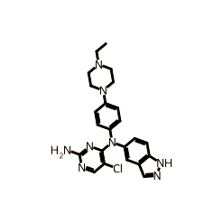 CCN1CCN(c2ccc(N(c3ccc4[nH]ncc4c3)c3nc(N)ncc3Cl)cc2)CC1